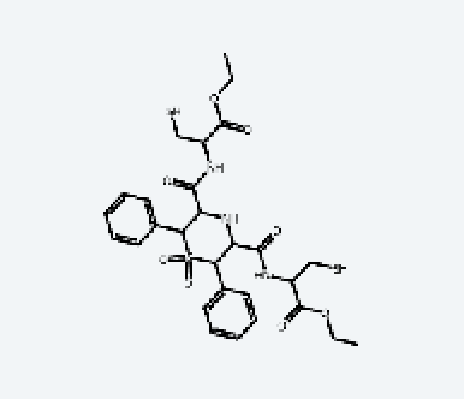 CCOC(=O)C(CS)NC(=O)C1NC(C(=O)NC(CS)C(=O)OCC)C(c2ccccc2)S(=O)(=O)C1c1ccccc1